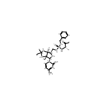 CC(=O)[C@H](C)NP(=O)(OCc1ccccc1)OC[C@H]1O[C@@H](n2ccc(N)nc2=O)[C@]2(C)OC(C)(C)O[C@H]12